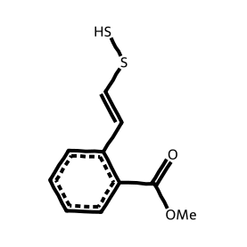 COC(=O)c1ccccc1C=CSS